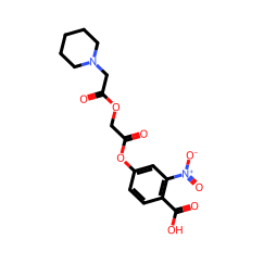 O=C(CN1CCCCC1)OCC(=O)Oc1ccc(C(=O)O)c([N+](=O)[O-])c1